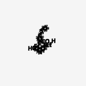 CCOc1ccc2ncc(CO)c([C@H](F)CCC3(CC(=O)O)CCN(CCSC4CCCC4)CC3)c2c1